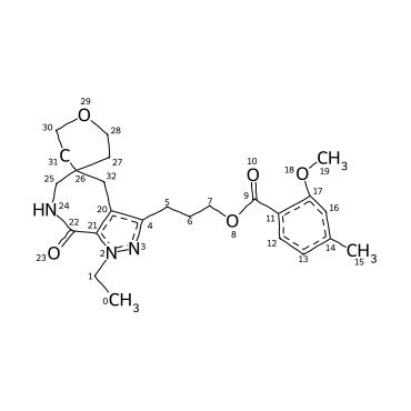 CCn1nc(CCCOC(=O)c2ccc(C)cc2OC)c2c1C(=O)NCC1(CCOCC1)C2